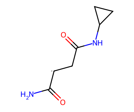 NC(=O)[CH]CC(=O)NC1CC1